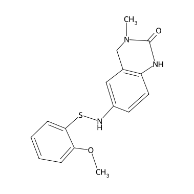 COc1ccccc1SNc1ccc2c(c1)CN(C)C(=O)N2